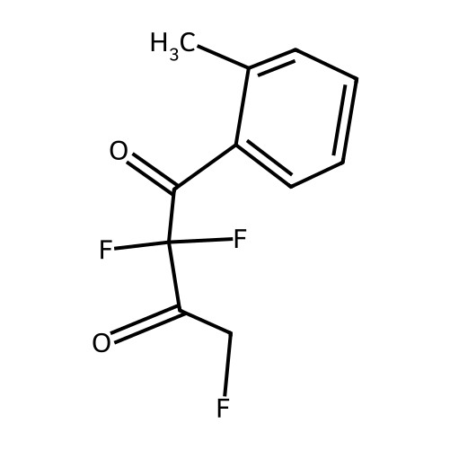 Cc1ccccc1C(=O)C(F)(F)C(=O)CF